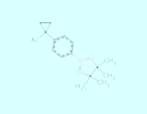 CC(=O)C1(c2ccc(B3OC(C)(C)C(C)(C)O3)cc2)CC1